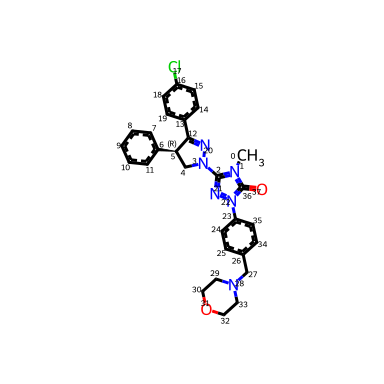 Cn1c(N2C[C@@H](c3ccccc3)C(c3ccc(Cl)cc3)=N2)nn(-c2ccc(CN3CCOCC3)cc2)c1=O